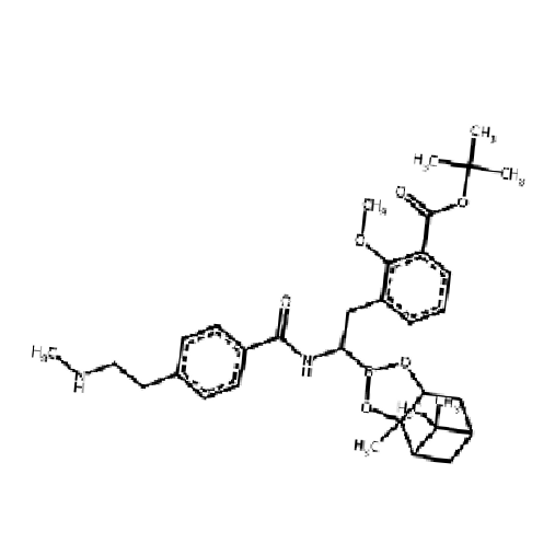 CNCCc1ccc(C(=O)NC(Cc2cccc(C(=O)OC(C)(C)C)c2OC)B2OC3CC4CC(C4(C)C)C3(C)O2)cc1